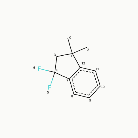 CC1(C)CC(F)(F)c2ccccc21